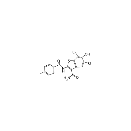 Cc1ccc(C(=O)Nc2sc3c(Cl)c(O)c(Cl)cc3c2C(N)=O)cc1